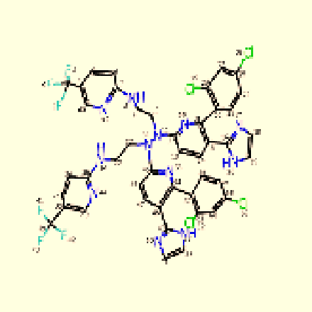 FC(F)(F)c1ccc(NCCN(c2ccc(-c3ncc[nH]3)c(-c3ccc(Cl)cc3Cl)n2)N(CCNc2ccc(C(F)(F)F)cn2)c2ccc(-c3ncc[nH]3)c(-c3ccc(Cl)cc3Cl)n2)nc1